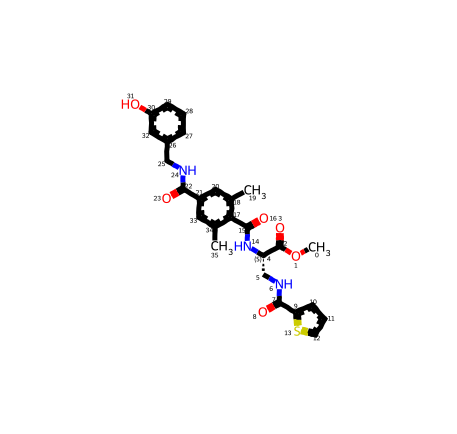 COC(=O)[C@H](CNC(=O)c1cccs1)NC(=O)c1c(C)cc(C(=O)NCc2cccc(O)c2)cc1C